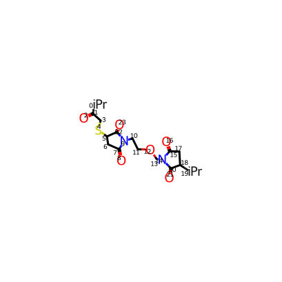 CC(C)C(=O)CSC1CC(=O)N(CCOCN2C(=O)CC(C(C)C)C2=O)C1=O